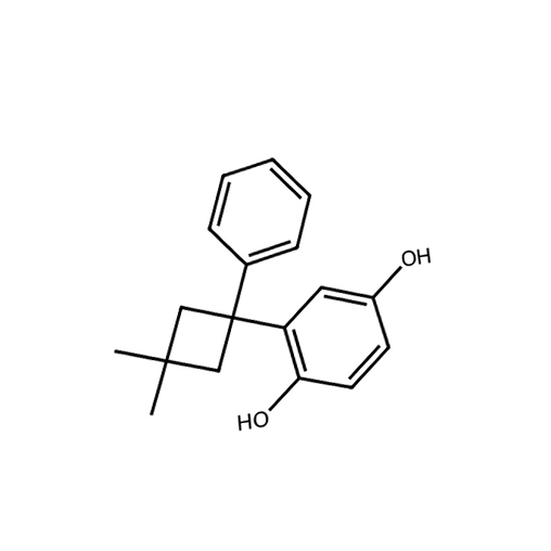 CC1(C)CC(c2ccccc2)(c2cc(O)ccc2O)C1